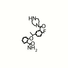 CC(Oc1ccccc1C(N)=O)c1ccc(F)c(C(=O)N2CCCNCC2)c1